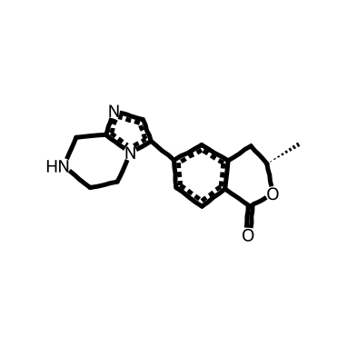 C[C@H]1Cc2cc(-c3cnc4n3CCNC4)ccc2C(=O)O1